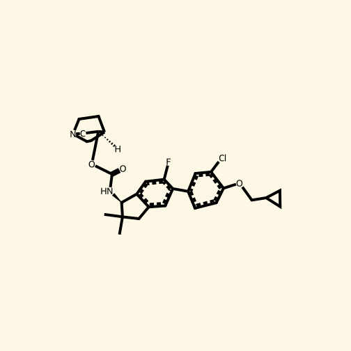 CC1(C)Cc2cc(-c3ccc(OCC4CC4)c(Cl)c3)c(F)cc2[C@@H]1NC(=O)O[C@H]1CN2CCC1CC2